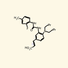 Cc1ccc(NC(=O)Nc2cc(/C=C/C(=O)O)ccc2N(CC(C)C)CC(C)C)c(F)c1